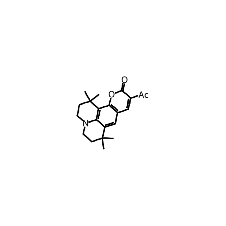 CC(=O)c1cc2cc3c4c(c2oc1=O)C(C)(C)CCN4CCC3(C)C